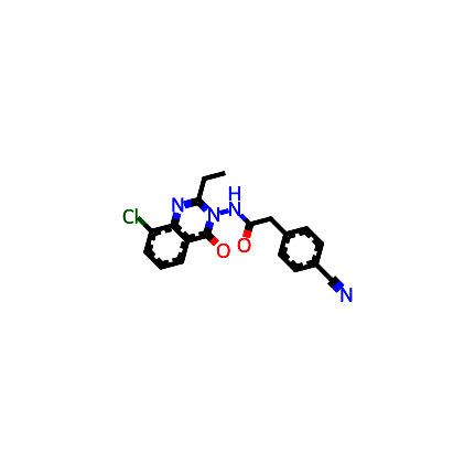 CCc1nc2c(Cl)cccc2c(=O)n1NC(=O)Cc1ccc(C#N)cc1